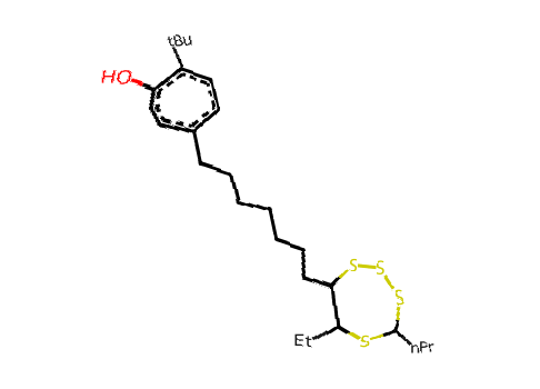 CCCC1SSSC(CCCCCCCc2ccc(C(C)(C)C)c(O)c2)C(CC)S1